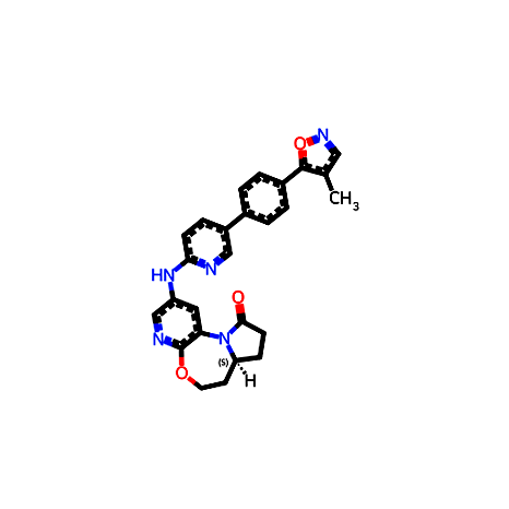 Cc1cnoc1-c1ccc(-c2ccc(Nc3cnc4c(c3)N3C(=O)CC[C@H]3CCO4)nc2)cc1